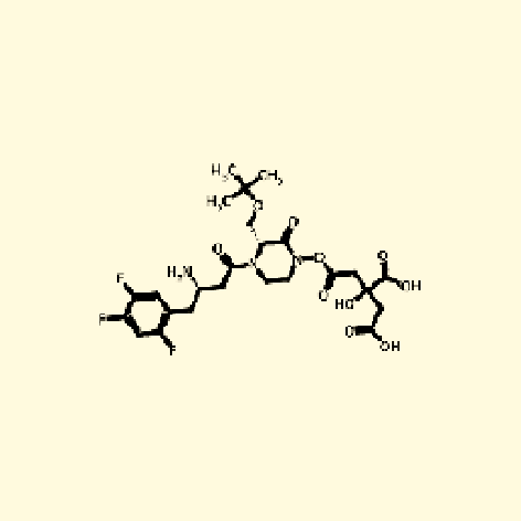 CC(C)(C)OC[C@@H]1C(=O)N(OC(=O)CC(O)(CC(=O)O)C(=O)O)CCN1C(=O)C[C@H](N)Cc1cc(F)c(F)cc1F